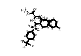 COC(=O)[C@@H]1NC(S(=O)(=O)c2ccc(C(F)(F)F)cc2)C2CCCCC23C1=NNC3c1ccc(F)cc1